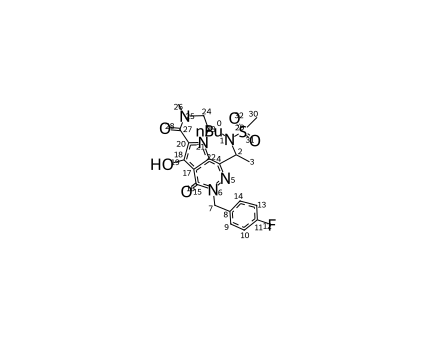 CCCCN(C(C)c1nn(Cc2ccc(F)cc2)c(=O)c2c(O)c3n(c12)CCN(C)C3=O)S(C)(=O)=O